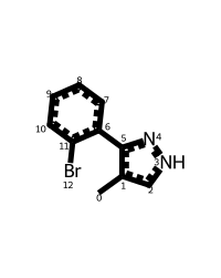 Cc1c[nH]nc1-c1ccccc1Br